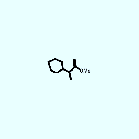 C=C(OC)C(C)C1CCCCC1